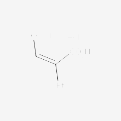 CCC(=CC(=O)O)C(=O)O.Cl